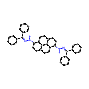 c1ccc(C(=NNc2ccc3ccc4c(NN=C(c5ccccc5)c5ccccc5)ccc5ccc2c3c54)c2ccccc2)cc1